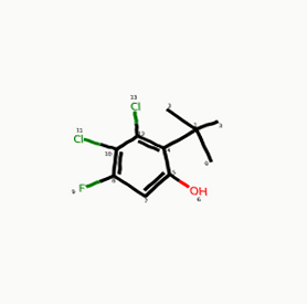 CC(C)(C)c1c(O)cc(F)c(Cl)c1Cl